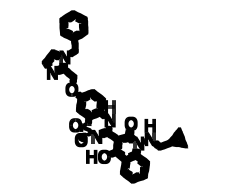 O=c1c(C2=NS(=O)(=O)c3cc(OCc4nccn4Cc4ccccc4)ccc3N2)c(O)c2ccccc2n1NCC1CC1